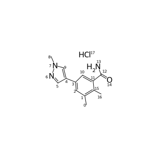 Cc1cc(-c2cnn(C)c2)cc(C(N)=O)c1C.Cl